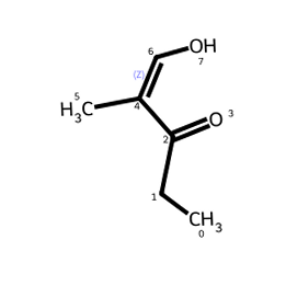 CCC(=O)/C(C)=C\O